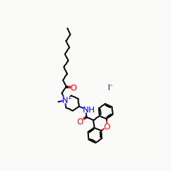 CCCCCCCCCC(=O)C[N+]1(C)CCC(NC(=O)C2c3ccccc3Oc3ccccc32)CC1.[I-]